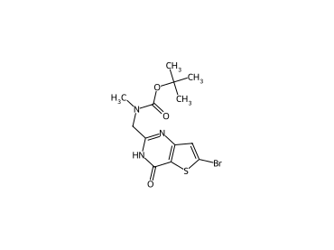 CN(Cc1nc2cc(Br)sc2c(=O)[nH]1)C(=O)OC(C)(C)C